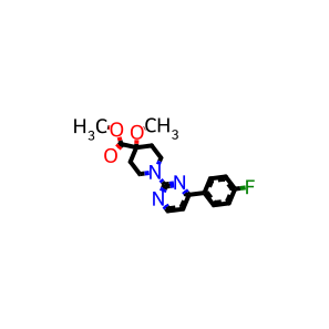 COC(=O)C1(OC)CCN(c2nccc(-c3ccc(F)cc3)n2)CC1